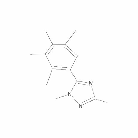 Cc1nc(-c2cc(C)c(C)c(C)c2C)n(C)n1